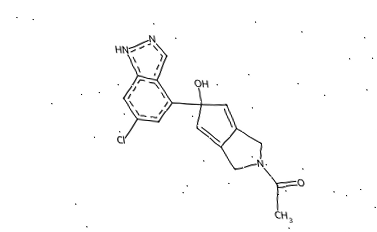 CC(=O)N1CC2=CC(O)(c3cc(Cl)cc4[nH]ncc34)C=C2C1